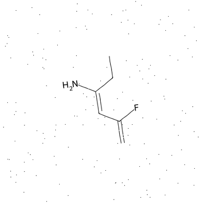 C=C(F)/C=C(/N)CC